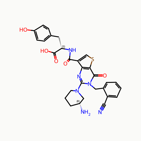 N#Cc1ccccc1Cn1c(N2CCC[C@@H](N)C2)nc2c(C(=O)N[C@@H](Cc3ccc(O)cc3)C(=O)O)csc2c1=O